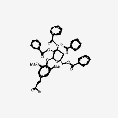 COc1cc(/C=C/C(=O)Br)cc(OC)c1O[C@@H]1O[C@H](COC(=O)c2ccccc2)[C@@H](OC(=O)c2ccccc2)[C@H](OC(=O)c2ccccc2)[C@H]1OC(=O)c1ccccc1